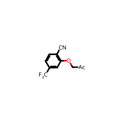 CC(=O)COc1cc(C(F)(F)F)ccc1C#N